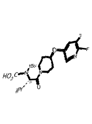 CC(C)[C@@H](C(=O)N1CCC(Oc2cnc(F)c(F)c2)CC1)N(C(=O)O)C(C)(C)C